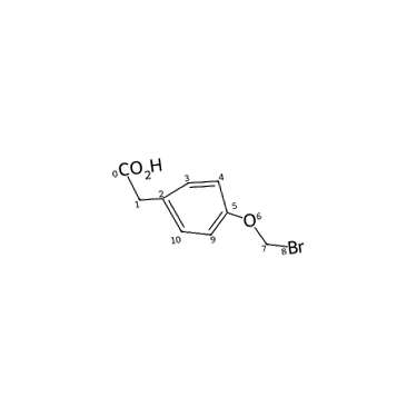 O=C(O)Cc1ccc(OCBr)cc1